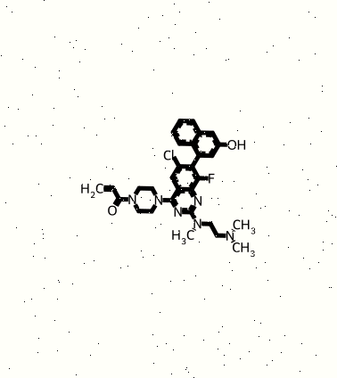 C=CC(=O)N1CCN(c2nc(N(C)CCN(C)C)nc3c(F)c(-c4cc(O)cc5ccccc45)c(Cl)cc23)CC1